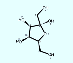 OC[C@@H]1O[C@](O)(CO)[C@H](O)[C@@H]1O